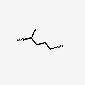 CCCCCCC(C)NC